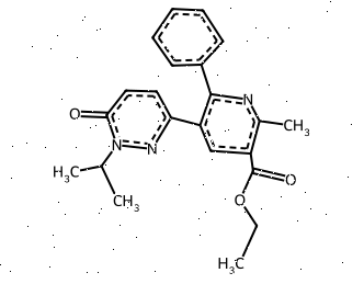 CCOC(=O)c1cc(-c2ccc(=O)n(C(C)C)n2)c(-c2ccccc2)nc1C